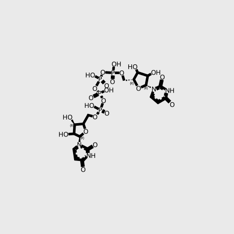 O=c1ccn([C@@H]2O[C@H](COP(=O)(O)OP(=O)(O)OP(=O)(O)OP(=O)(O)OCC3O[C@@H](n4ccc(=O)[nH]c4=O)C(O)[C@H]3O)C(O)C2O)c(=O)[nH]1